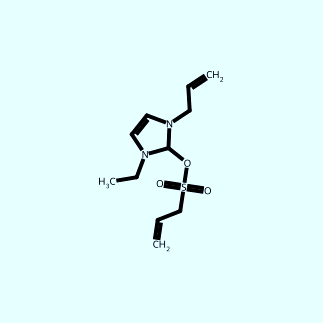 C=CCN1C=CN(CC)C1OS(=O)(=O)CC=C